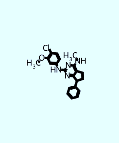 CNc1nc(Nc2ccc(Cl)c(OC)c2)nc2c1CCC2c1ccccc1